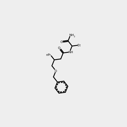 CCCC(COCc1ccccc1)CC(=O)NC(CC)C(N)=O